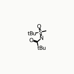 CC(C)(C)C(=O)N=[S@@](C)(=O)C(C)(C)C